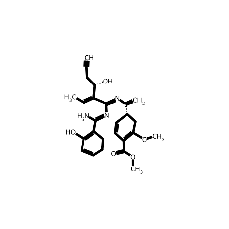 C#CC[C@H](O)C(=C\C)/C(/N=C(\N)C1=C(O)C=CCC1)=N/C(=C)[C@H]1C=CC(C(=O)OC)=C(OC)C1